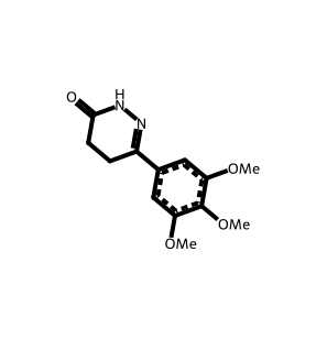 COc1cc(C2=NNC(=O)CC2)cc(OC)c1OC